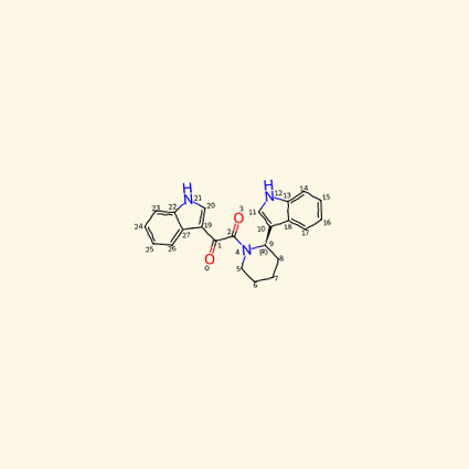 O=C(C(=O)N1CCCC[C@@H]1c1c[nH]c2ccccc12)c1c[nH]c2ccccc12